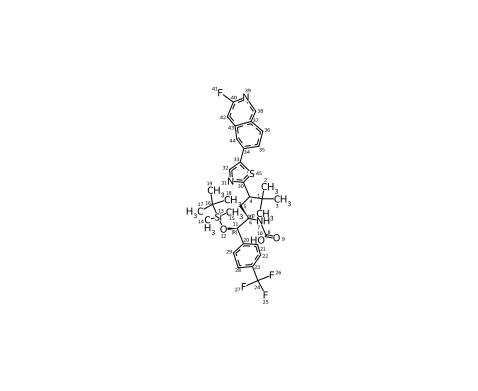 CC(C)(C)C(C[C@@H](NC(=O)O)[C@H](O[Si](C)(C)C(C)(C)C)c1ccc(C(F)(F)F)cc1)c1ncc(-c2ccc3cnc(F)cc3c2)s1